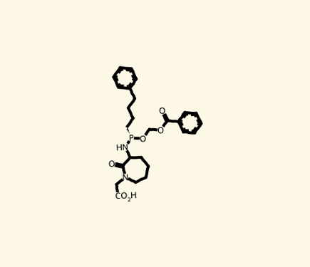 O=C(O)CN1CCCCC(N[P@](CCCCc2ccccc2)OCOC(=O)c2ccccc2)C1=O